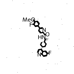 COc1ccc(-c2ccc(C(=O)N[C@H](C)[C@H]3CC[C@@H](c4ccnc5ccc(F)cc54)CC3)nc2)cc1F